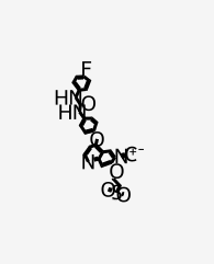 [C-]#[N+]c1cc2c(Oc3ccc(NC(=O)Nc4ccc(F)cc4)cc3)ccnc2cc1OCCS(C)(=O)=O